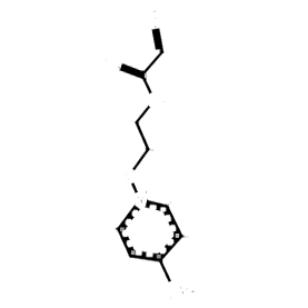 C=CC(=O)OCCO[n+]1ccc(OC)cc1